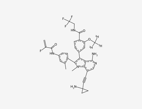 [2H]C([2H])([2H])Oc1cc(-c2c(-c3ccc(NC(=O)C(=C)F)cc3C)n(C)c3c(C#CC4(N)CC4)cnc(N)c23)ccc1C(=O)NCC(F)(F)F